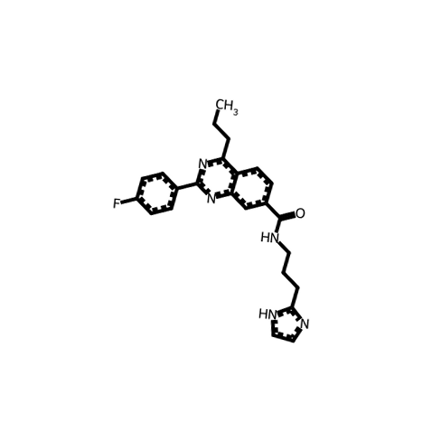 CCCc1nc(-c2ccc(F)cc2)nc2cc(C(=O)NCCCc3ncc[nH]3)ccc12